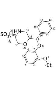 CCOc1ccccc1OC(c1ccccc1)C1CNCCO1.CS(=O)(=O)O